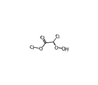 O=C(OCl)C(Cl)OO